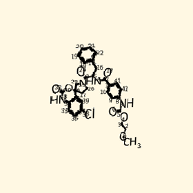 COCCOC(=O)Nc1ccc(C(=O)NC(Cc2ccccc2)C(=O)N2CCC3(C2)OC(=O)Nc2ccc(Cl)cc23)cc1